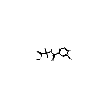 COC(=O)C(C)(C)NC(=O)c1cccc(C)c1